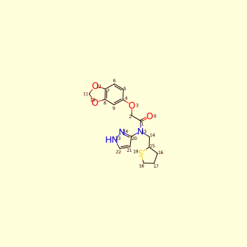 O=C(COc1ccc2c(c1)OCO2)N(CC1CCCS1)c1cc[nH]n1